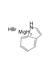 Br.[MgH2].c1ccc2[nH]ccc2c1